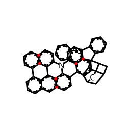 c1ccc(-c2cccc3cccc(-c4ccccc4N(c4ccc5c(c4)C4(c6ccccc6-5)C5CC6CC7CC4C75C6)c4ccccc4-c4cccc5sc6ccccc6c45)c23)cc1